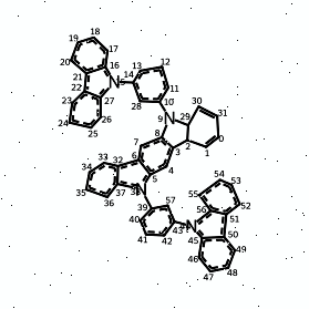 C1=CC2c3cc4c(cc3N(c3cccc(-n5c6ccccc6c6ccccc65)c3)C2C=C1)c1ccccc1n4-c1cccc(-n2c3ccccc3c3ccccc32)c1